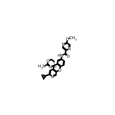 COc1cnc(C(=O)Nc2ccc3c(c2)[C@@]2(CCOC(N)=N2)c2cc(C4CC4)ncc2O3)cn1